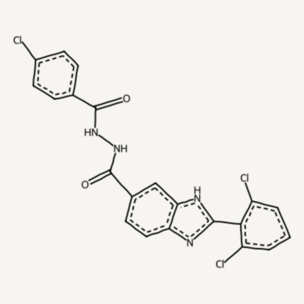 O=C(NNC(=O)c1ccc2nc(-c3c(Cl)cccc3Cl)[nH]c2c1)c1ccc(Cl)cc1